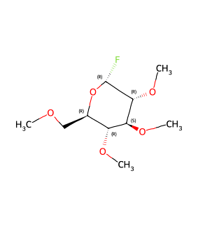 COC[C@H]1O[C@H](F)[C@H](OC)[C@@H](OC)[C@@H]1OC